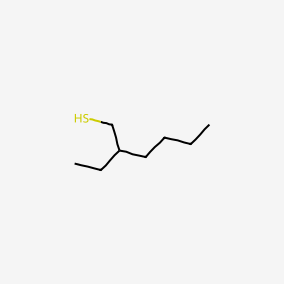 CCCCC(CC)CS